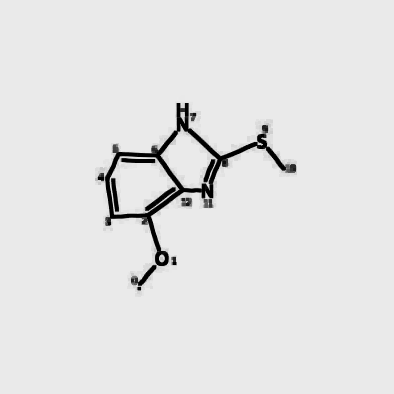 [CH2]Oc1cccc2[nH]c(SC)nc12